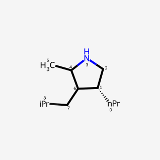 CCC[C@H]1CNC(C)C1CC(C)C